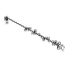 CC[C@H](C)[C@@H](C=O)NC(=O)COCCOCCNC(=O)COCCOCCNC(=O)CCCCSNC(=O)CCCCCCCCCCCCCCCc1nnn[nH]1